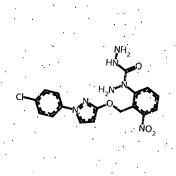 NNC(=O)N(N)c1cccc([N+](=O)[O-])c1COc1ccn(-c2ccc(Cl)cc2)n1